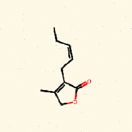 CC/C=C\CC1=C(C)COC1=O